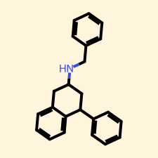 c1ccc(CNC2Cc3ccccc3C(c3ccccc3)C2)cc1